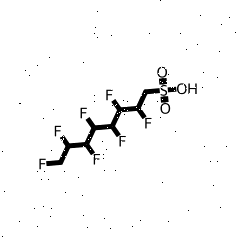 O=S(=O)(O)CC(F)C(F)C(F)C(F)C(F)C(F)CF